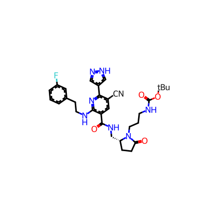 CC(C)(C)OC(=O)NCCCN1C(=O)CC[C@@H]1CNC(=O)c1cc(C#N)c(-c2cn[nH]c2)nc1NCCc1cccc(F)c1